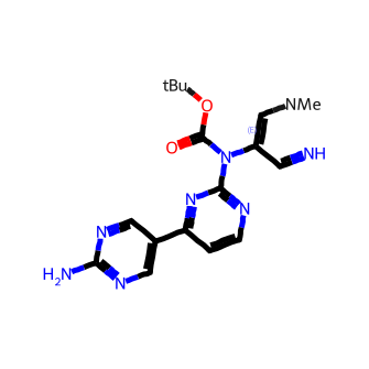 CN/C=C(\C=N)N(C(=O)OC(C)(C)C)c1nccc(-c2cnc(N)nc2)n1